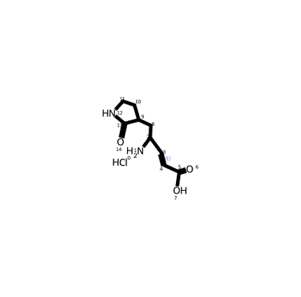 Cl.NC(/C=C/C(=O)O)CC1CCNC1=O